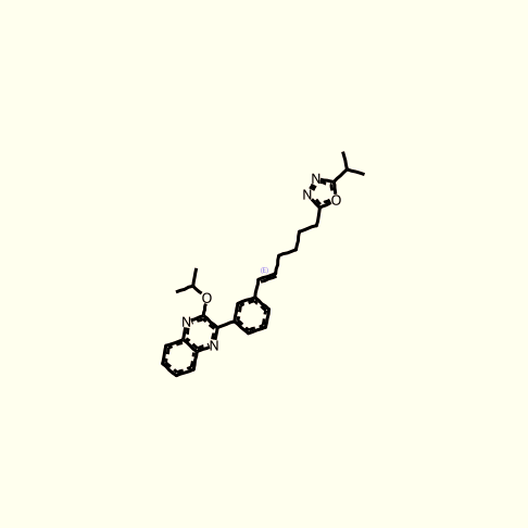 CC(C)Oc1nc2ccccc2nc1-c1cccc(/C=C/CCCCc2nnc(C(C)C)o2)c1